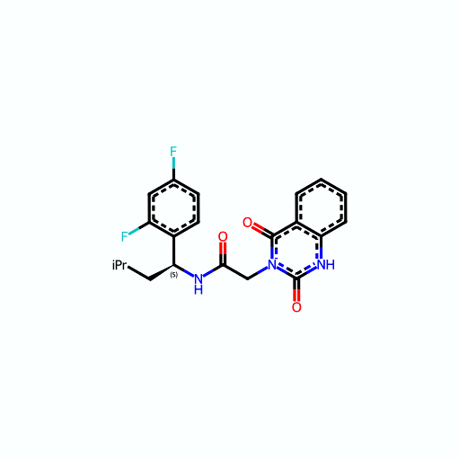 CC(C)C[C@H](NC(=O)Cn1c(=O)[nH]c2ccccc2c1=O)c1ccc(F)cc1F